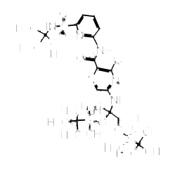 CC(C)(C)NS(=O)(=O)c1cccc(NC(=O)c2ncc(NC(C)(CO[Si](C)(C)C(C)(C)C)O[Si](C)(C)C(C)(C)C)nc2Cl)n1